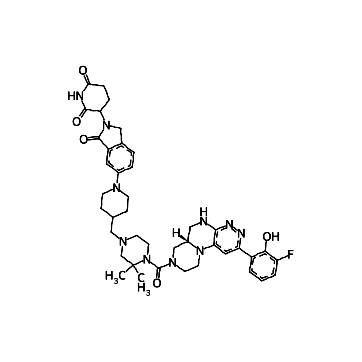 CC1(C)CN(CC2CCN(c3ccc4c(c3)C(=O)N(C3CCC(=O)NC3=O)C4)CC2)CCN1C(=O)N1CCN2c3cc(-c4cccc(F)c4O)nnc3NC[C@H]2C1